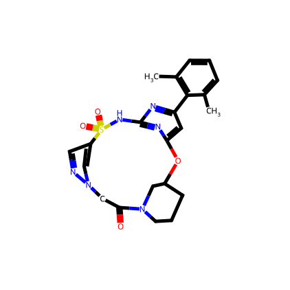 Cc1cccc(C)c1-c1cc2nc(n1)NS(=O)(=O)c1cnn(c1)CC(=O)N1CCCC(C1)O2